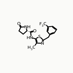 Cc1nc(Cc2cccc(C(F)(F)F)c2)sc1NC(=O)[C@@H]1CCC(=O)N1